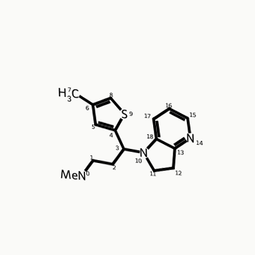 CNCCC(c1cc(C)cs1)N1CCc2ncccc21